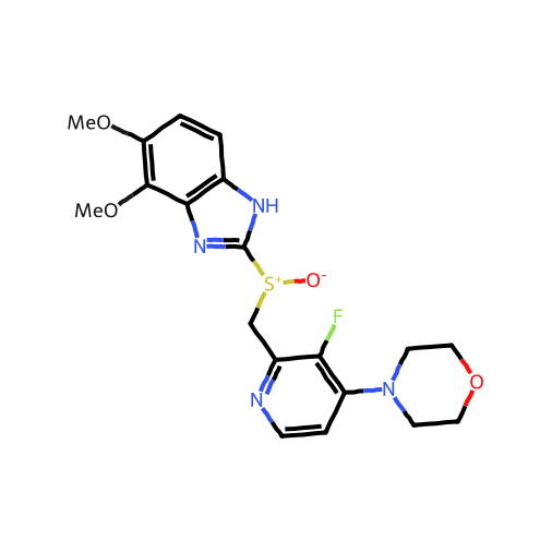 COc1ccc2[nH]c([S+]([O-])Cc3nccc(N4CCOCC4)c3F)nc2c1OC